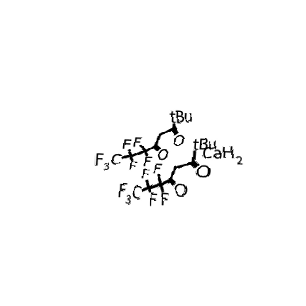 CC(C)(C)C(=O)CC(=O)C(F)(F)C(F)(F)C(F)(F)F.CC(C)(C)C(=O)CC(=O)C(F)(F)C(F)(F)C(F)(F)F.[CaH2]